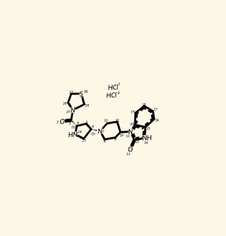 Cl.Cl.O=C([C@@H]1C[C@H](N2CCC(n3c(=O)[nH]c4ccccc43)CC2)CN1)N1CCSC1